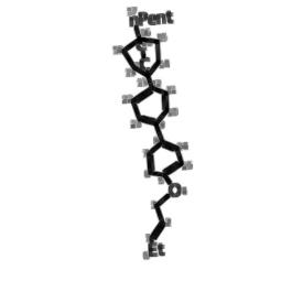 CCC=CCOc1ccc(-c2ccc(C34CCC(CCCCC)(CC3)CC4)cc2)cc1